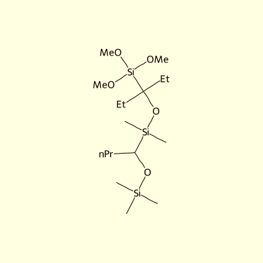 CCCC(O[Si](C)(C)C)[Si](C)(C)OC(CC)(CC)[Si](OC)(OC)OC